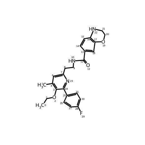 CCOc1c(C)cc(CCNC(=O)c2ccc3c(c2)OCCN3)nc1-c1ccc(F)cc1